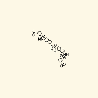 COC(=O)c1cccc(S(=O)(=O)Nc2ccc3ccc(NC(=O)Nc4ccc5ccc(NS(=O)(=O)c6cccc(C(=O)OC)c6)cc5c4)cc3c2)c1